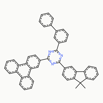 CC1(C)c2ccccc2-c2cc(-c3nc(-c4cccc(-c5ccccc5)c4)nc(-c4ccc5c6ccccc6c6ccccc6c5c4)n3)ccc21